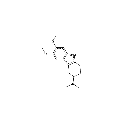 COc1cc2[nH]c3c(c2cc1OC)CC(N(C)C)CC3